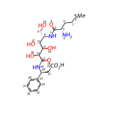 CSCC[C@H](N)C(=O)N[C@@H](CO)[C@@H](O)[C@@H](O)[C@H](O)C(=O)N[C@@H](CC(=O)O)c1ccccc1